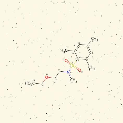 Cc1cc(C)c(S(=O)(=O)N(C)CCOCC(=O)O)c(C)c1